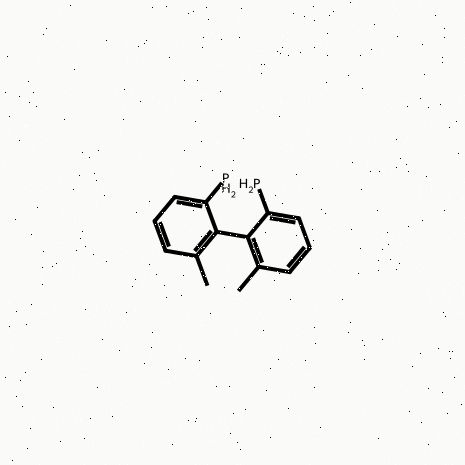 Cc1cccc(P)c1-c1c(C)cccc1P